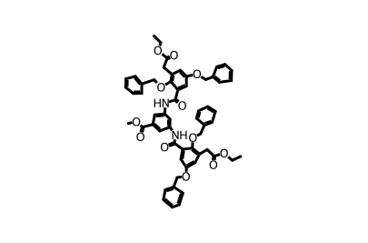 CCOC(=O)Cc1cc(OCc2ccccc2)cc(C(=O)Nc2cc(NC(=O)c3cc(OCc4ccccc4)cc(CC(=O)OCC)c3OCc3ccccc3)cc(C(=O)OC)c2)c1OCc1ccccc1